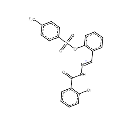 O=C(N/N=C/c1ccccc1OS(=O)(=O)c1ccc(C(F)(F)F)cc1)c1ccccc1Br